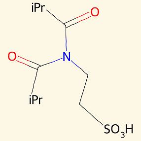 CC(C)C(=O)N(CCS(=O)(=O)O)C(=O)C(C)C